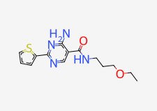 CCOCCCNC(=O)c1cnc(-c2cccs2)nc1N